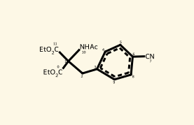 CCOC(=O)C(Cc1ccc(C#N)cc1)(NC(C)=O)C(=O)OCC